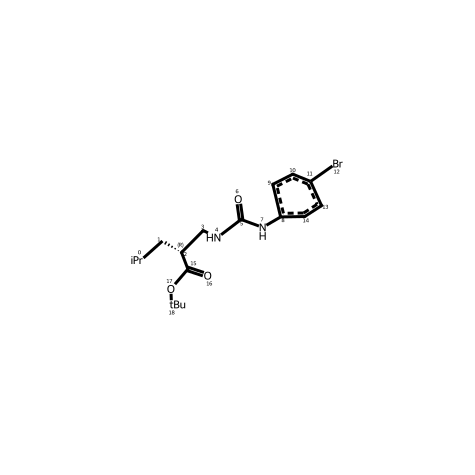 CC(C)C[C@H](CNC(=O)Nc1ccc(Br)cc1)C(=O)OC(C)(C)C